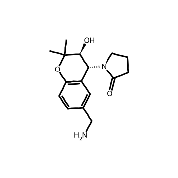 CC1(C)Oc2ccc(CN)cc2[C@@H](N2CCCC2=O)[C@@H]1O